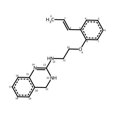 CC=Cc1ccccc1OCCNC1=Nc2ccccc2CN1